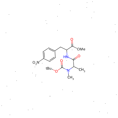 COC(=O)C(Cc1ccc([N+](=O)[O-])cc1)NC(=O)C(C)N(C)C(=O)OC(C)(C)C